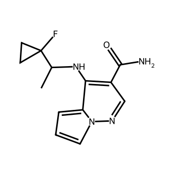 CC(Nc1c(C(N)=O)cnn2cccc12)C1(F)CC1